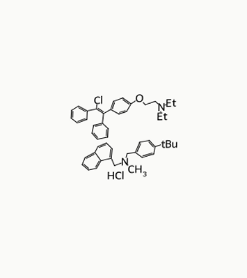 CCN(CC)CCOc1ccc(/C(=C(\Cl)c2ccccc2)c2ccccc2)cc1.CN(Cc1ccc(C(C)(C)C)cc1)Cc1cccc2ccccc12.Cl